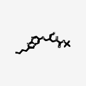 CCCCc1cn2cc(OCC(=CF)CNC(=O)OC(C)(C)C)cnc2n1